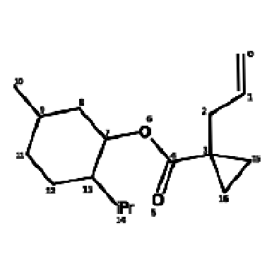 C=CCC1(C(=O)OC2CC(C)CCC2C(C)C)CC1